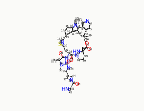 CCn1c(-c2cccnc2C(C)C)c2c3cc(ccc31)-c1csc(n1)C[C@H](NC(=O)[C@H](C(C)C)N(C)C(=O)N(C)CC1CN(C(=O)[C@H]3CN3)C1)C(=O)N1CCC[C@H](N1)C(=O)OCC(C)(C)C2